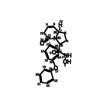 O=C(NO)[C@@H]1CC[C@@H]2C=CC[P@@](=O)(c3ccc(Oc4ccccc4)cc3)N21